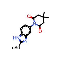 CCCCc1nc2cc(N3C(=O)CC(C)(C)CC3=O)ccc2[nH]1